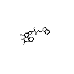 O=C1Nc2c(Cl)cc3cc(C(=O)NCCN4CCc5ccccc54)oc3c2C2(CCCCC2)N1